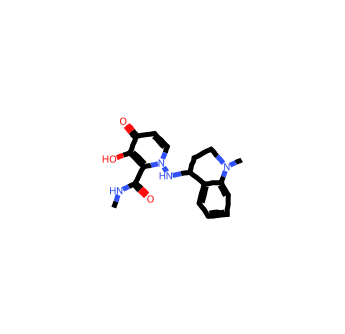 CNC(=O)c1c(O)c(=O)ccn1NC1CCN(C)c2ccccc21